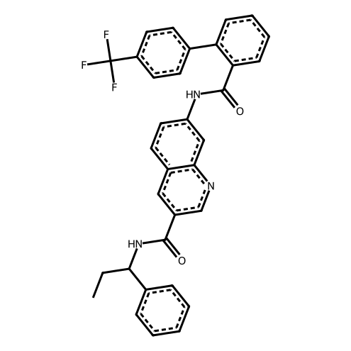 CCC(NC(=O)c1cnc2cc(NC(=O)c3ccccc3-c3ccc(C(F)(F)F)cc3)ccc2c1)c1ccccc1